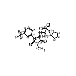 CN1C(=O)/C(=N\C(NC2CCCC2)C(Cl)(Cl)Cl)N(c2cccc(C(F)(F)F)c2)C1=O